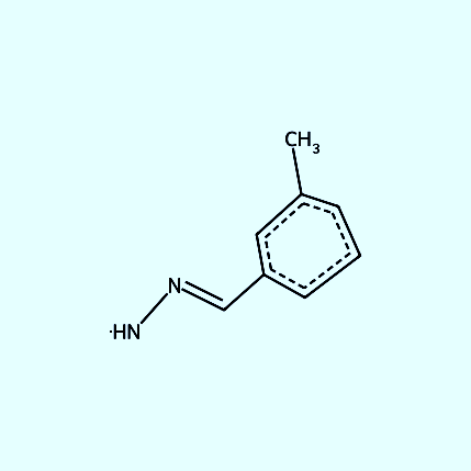 Cc1cccc(C=N[NH])c1